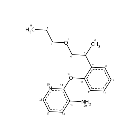 CCCOCC(C)c1ccccc1Oc1ncccc1N